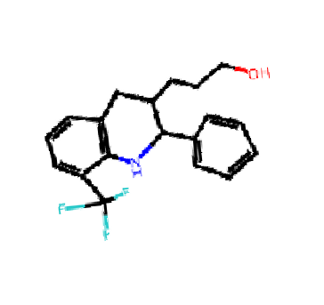 OCCCC1Cc2cccc(C(F)(F)F)c2NC1c1ccccc1